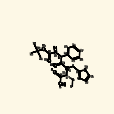 CC[C@H](C(=O)O)N(Cc1cccs1)C(=O)C(NC(=O)OC(C)(C)C)c1ccccc1